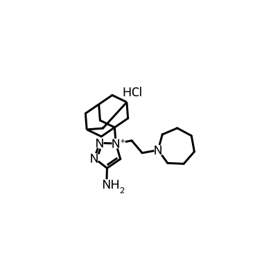 Cl.NC1=C[N+](CCN2CCCCCC2)(C23CC4CC(CC(C4)C2)C3)N=N1